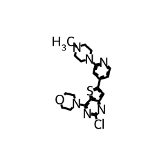 CN1CCN(c2cc(-c3cc4nc(Cl)nc(N5CCOCC5)c4s3)ccn2)CC1